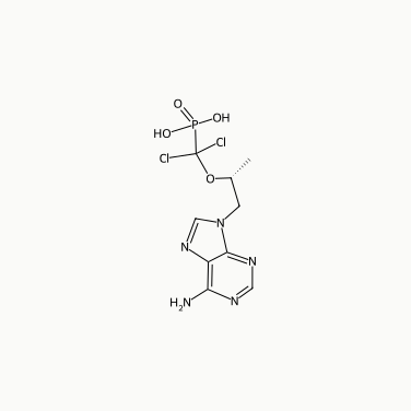 C[C@H](Cn1cnc2c(N)ncnc21)OC(Cl)(Cl)P(=O)(O)O